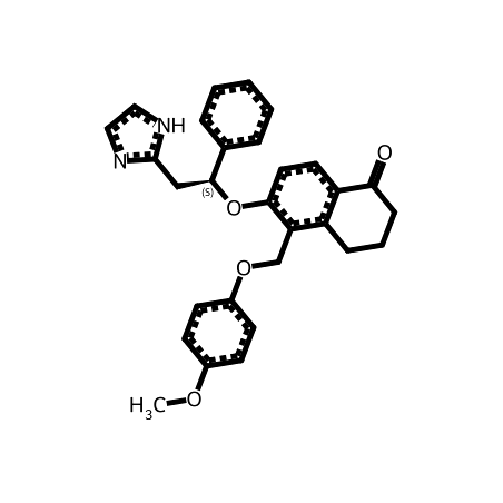 COc1ccc(OCc2c(O[C@@H](Cc3ncc[nH]3)c3ccccc3)ccc3c2CCCC3=O)cc1